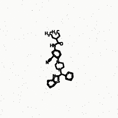 CCC(CC)C(=O)Nc1ccc(N2CCN(C(c3ccccc3)c3nc4ccccc4s3)CC2)c(C#N)c1